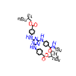 CCCCC(C)COC(=O)c1ccc(Nc2nc(Nc3ccc(C(=O)NC(C)(C)C)cc3)nc(Nc3ccc(C(=O)OCC(CC)CCCC)cc3)n2)cc1